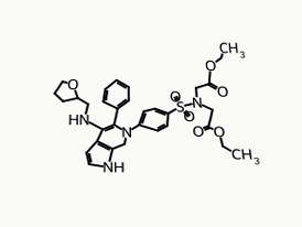 CCOC(=O)CN(CC(=O)OCC)S(=O)(=O)c1ccc(N2Cc3[nH]ccc3C(NCC3CCCO3)=C2c2ccccc2)cc1